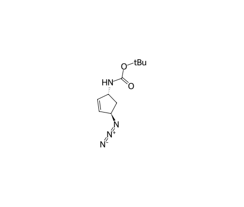 CC(C)(C)OC(=O)N[C@H]1C=C[C@H](N=[N+]=[N-])C1